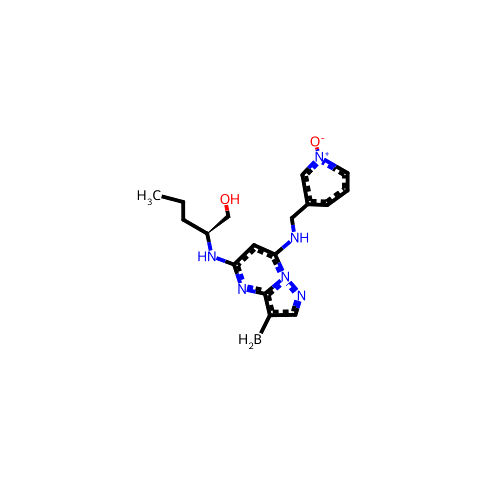 Bc1cnn2c(NCc3ccc[n+]([O-])c3)cc(N[C@H](CO)CCC)nc12